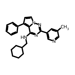 Cc1cncc(-c2nc(NCC3CCCCC3)c3c(-c4ccccc4)ccn3n2)c1